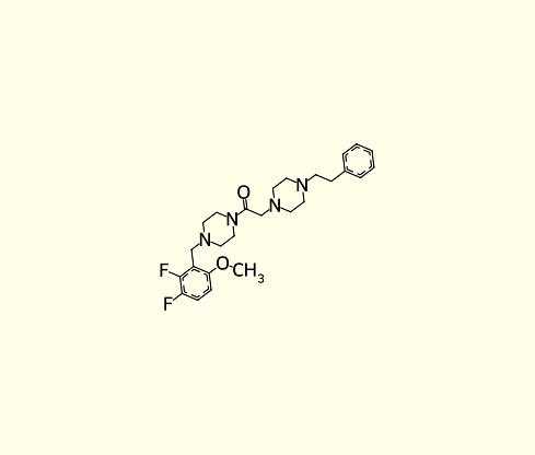 COc1ccc(F)c(F)c1CN1CCN(C(=O)CN2CCN(CCc3ccccc3)CC2)CC1